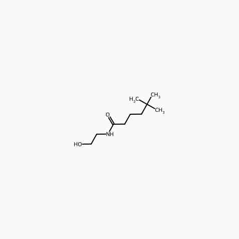 CC(C)(C)CCCC(=O)NCCO